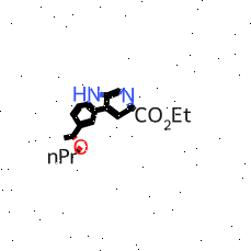 CCCOC(C)c1ccc2[nH]c3cnc(C(=O)OCC)cc3c2c1